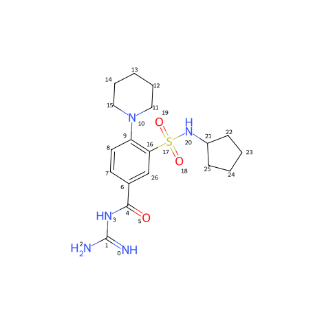 N=C(N)NC(=O)c1ccc(N2CCCCC2)c(S(=O)(=O)NC2CCCC2)c1